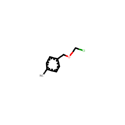 N#Cc1ccc(COCCl)cc1